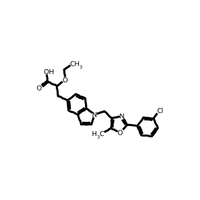 CCOC(Cc1ccc2c(ccn2Cc2nc(-c3cccc(Cl)c3)oc2C)c1)C(=O)O